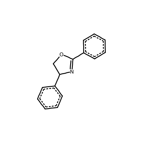 c1ccc(C2=NC(c3ccccc3)CO2)cc1